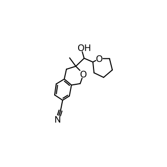 CC1(C(O)C2CCCCO2)Cc2ccc(C#N)cc2CO1